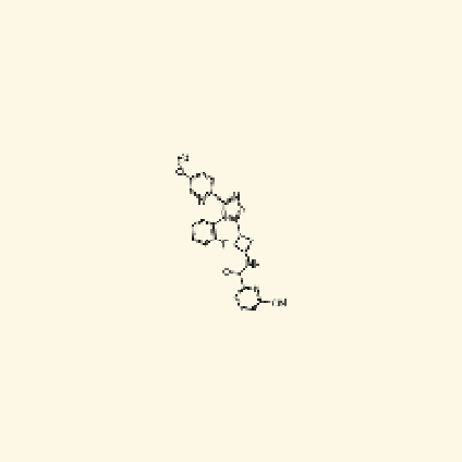 CCOc1ccc(-c2nnc(C3CC(NC(=O)c4cccc(C#N)n4)C3)n2-c2ccccc2F)nc1